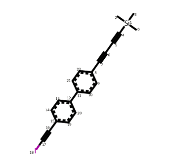 C[Si](C)(C)C#CC#Cc1ccc(-c2ccc(C#CI)cc2)cc1